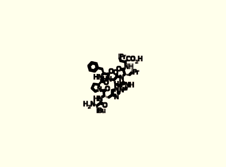 CC[C@H](C)[C@H](N)C(=O)N[C@@H](Cc1c[nH]cn1)C(=O)N1CCC[C@H]1C(=O)N[C@@H](Cc1ccccc1)C(=O)N[C@@H](Cc1c[nH]cn1)C(=O)N[C@@H](CC(C)C)C(=O)N[C@@H](CC(C)C)C(=O)O